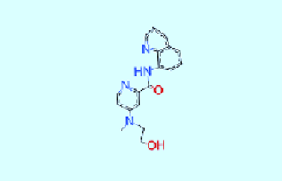 CN(CCO)c1ccnc(C(=O)Nc2cccc3cccnc23)c1